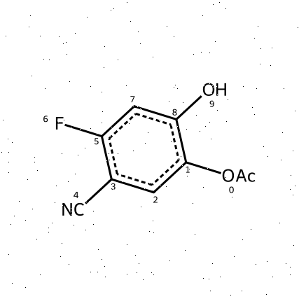 CC(=O)Oc1cc(C#N)c(F)cc1O